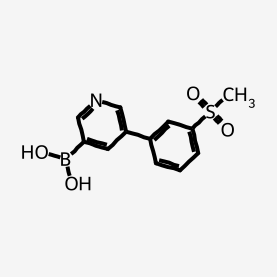 CS(=O)(=O)c1cccc(-c2cncc(B(O)O)c2)c1